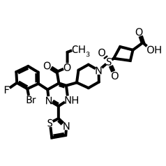 CCOC(=O)C1=C(C2CCN(S(=O)(=O)C3CC(C(=O)O)C3)CC2)NC(c2nccs2)=NC1c1cccc(F)c1Br